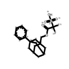 O=C(OCC12CC3CC(C1)CC(c1ccccc1)(C3)C2)C(F)(F)S(=O)(=O)O